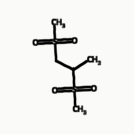 C[C](CS(C)(=O)=O)S(C)(=O)=O